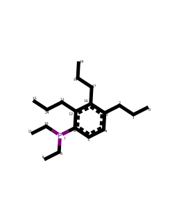 CCCc1ccc(P(CC)CC)c(CCC)c1CCC